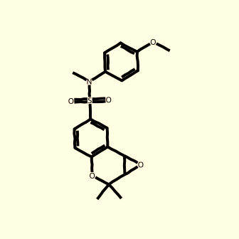 COc1ccc(N(C)S(=O)(=O)c2ccc3c(c2)C2OC2C(C)(C)O3)cc1